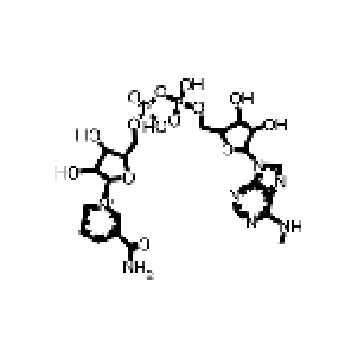 CNc1ncnc2c1ncn2C1OC(COP(=O)(O)OP(=O)(O)OCC2OC([n+]3cccc(C(N)=O)c3)C(O)C2O)C(O)C1O